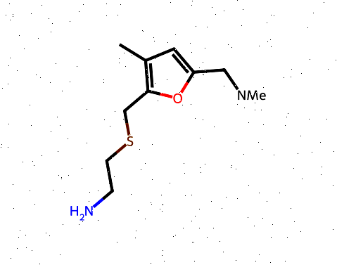 CNCc1cc(C)c(CSCCN)o1